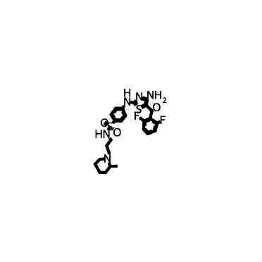 CC1CCCCN1CCCNS(=O)(=O)c1ccc(Nc2nc(N)c(C(=O)c3c(F)cccc3F)s2)cc1